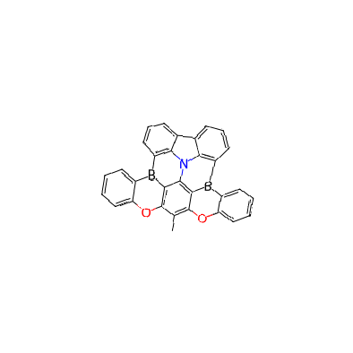 Cc1c2c3c4c5c1Oc1ccccc1B5c1cccc5c6cccc(c6n-4c15)B3c1ccccc1O2